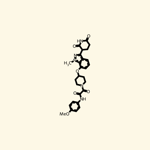 COc1ccc(NC(=O)C(=O)N2CCC(Oc3cccc4c(C5CCC(=O)NC5=O)nn(C)c34)CC2)cc1